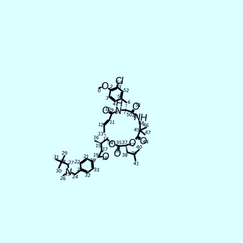 COc1ccc(C[C@H]2NC(=O)/C=C/C[C@@H]([C@H](C)[C@H]3O[C@@H]3c3ccc(CN(C)CC(C)(C)C)cc3)OC(=O)[C@H](CC(C)C)OC(=O)C(C)(C)CNC2=O)cc1Cl